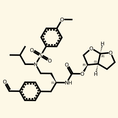 COc1ccc(S(=O)(=O)N(CC[C@H](Cc2ccc(C=O)cc2)NC(=O)O[C@H]2CO[C@H]3OCC[C@H]32)CC(C)C)cc1